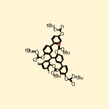 CC(C)(C)OC(=O)Oc1ccc(-c2ccc(OC(=O)OC(C)(C)C)c(C(c3cc(-c4ccc(OC(=O)OC(C)(C)C)cc4)ccc3OC(=O)OC(C)(C)C)c3cc(I)cc(I)c3OC(=O)OC(C)(C)C)c2)cc1